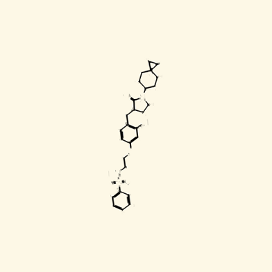 O=C1C(Cc2ccc(OCCNS(=O)(=O)c3ccccc3)cc2Cl)CCN1C1CCC2(CC1)CC2